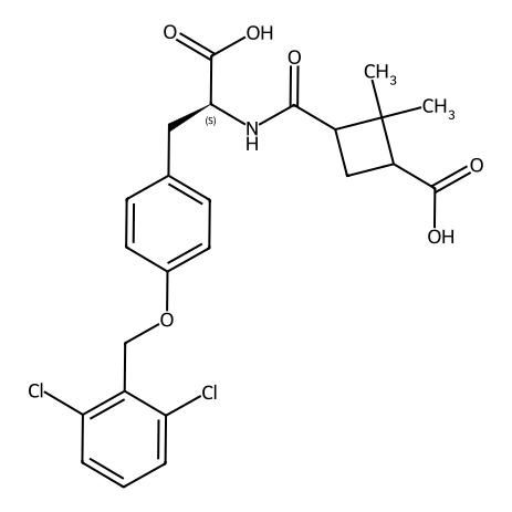 CC1(C)C(C(=O)O)CC1C(=O)N[C@@H](Cc1ccc(OCc2c(Cl)cccc2Cl)cc1)C(=O)O